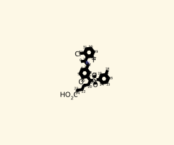 C/C(=C\c1ccc2c(c1)C(S(=O)(=O)c1cccc(C)c1)CC(CCC(=O)O)O2)c1c(F)cccc1Cl